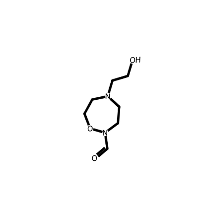 O=CN1CCN(CCO)CCO1